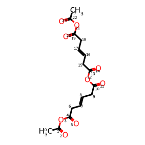 CC(=O)OC(=O)CC=CCC(=O)OC(=O)CC=CCC(=O)OC(C)=O